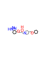 OC(COc1cccc2[nH]nnc12)CN1CCC(COc2ccccc2)CC1